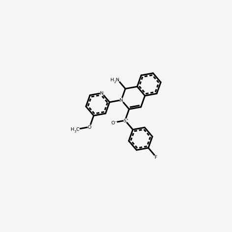 COc1ccnc(N2C([S+]([O-])c3ccc(F)cc3)=Cc3ccccc3C2N)c1